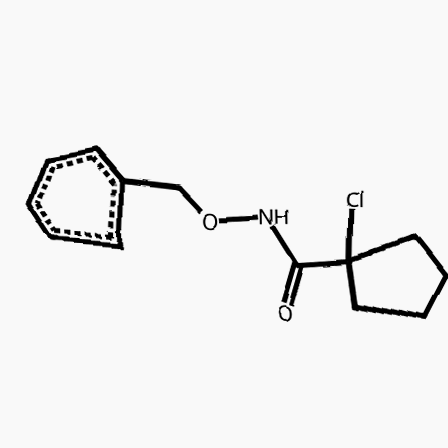 O=C(NOCc1ccccc1)C1(Cl)CCCC1